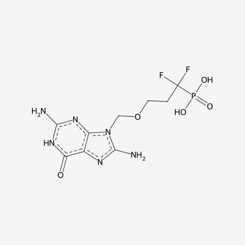 Nc1nc2c(nc(N)n2COCCC(F)(F)P(=O)(O)O)c(=O)[nH]1